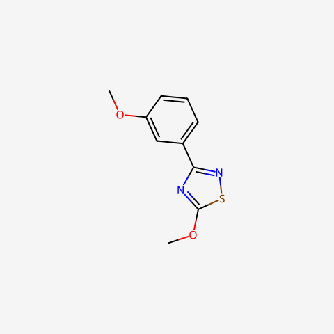 COc1cccc(-c2nsc(OC)n2)c1